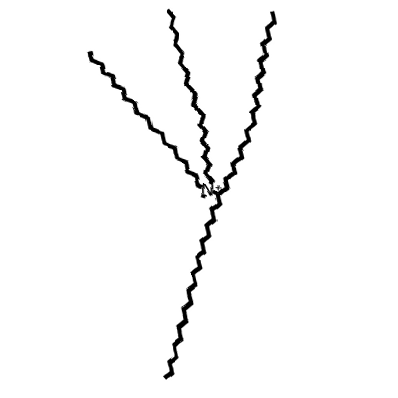 CCCCCCCCCCCCCCCCCCCCCCC(CCCCCCCCCCCCCCCCCCCCCC)[N+](C)(CCCCCCCCCCCCCCCCCCCC)CCCCCCCCCCCCCCCCCCCC